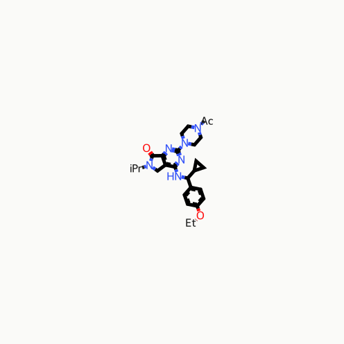 CCOc1ccc(C(Nc2nc(N3CCN(C(C)=O)CC3)nc3c2CN(C(C)C)C3=O)C2CC2)cc1